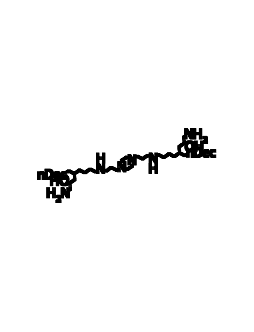 CCCCCCCCCCCC(CCCCNCCCN1CCN(CCCNCCCCC(CCCCCCCCCCC)CC(O)CN)CC1)CC(O)CN